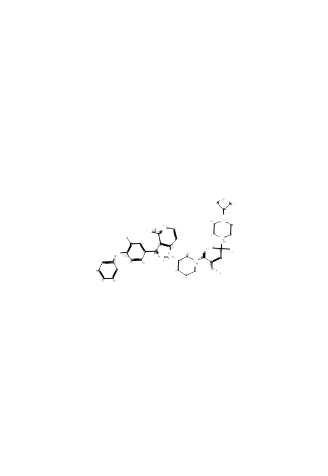 Cc1cc(-c2nn([C@@H]3CCCN(C(=O)/C(C#N)=C\C(C)(C)N4CCN(C5COC5)CC4)C3)c3ccnc(N)c23)ccc1Oc1ccccc1